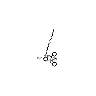 CCCCCCCCCCCCCCOc1cc(NCc2ccccc2NC(=O)c2ccccc2C(=O)O)ccc1N